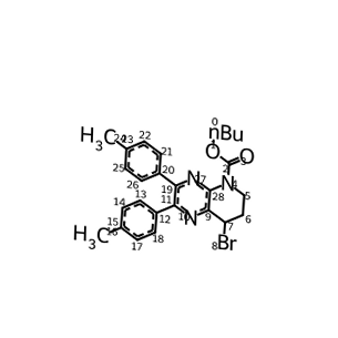 CCCCOC(=O)N1CCC(Br)c2nc(-c3ccc(C)cc3)c(-c3ccc(C)cc3)nc21